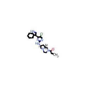 C=CC(=O)N1CCN2C[C@@H](Nc3ncc(Cl)c(-c4c[nH]c5ccccc45)n3)C[C@H]2C1